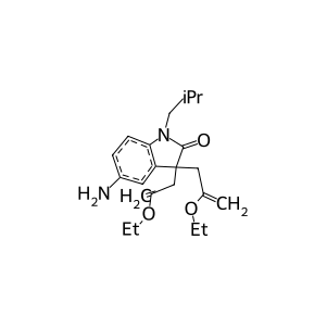 C=C(CC1(CC(=C)OCC)C(=O)N(CC(C)C)c2ccc(N)cc21)OCC